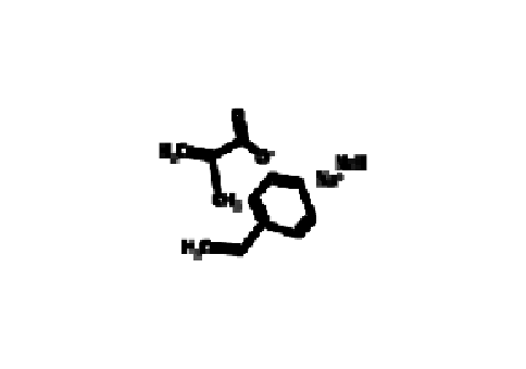 C=C(C)C(=O)[O-].C=Cc1ccccc1.[Na+].[NaH]